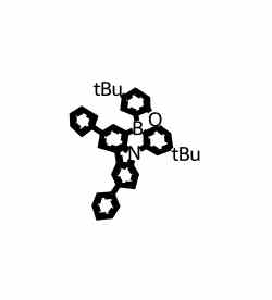 CC(C)(C)c1ccc2c(c1)B1c3c(cc(C(C)(C)C)cc3-n3c4ccc(-c5ccccc5)cc4c4cc(-c5ccccc5)cc1c43)O2